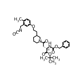 Cc1ccc(OCCC2CCCN(C(=O)C[C@H](NC(=O)OCc3ccccc3)C(=O)OC(C)(C)C)C2)cc1CN=C=O